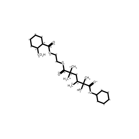 CCCC(C)(C(=O)OC1CCCCC1)C(C)CC(C)(C)C(=O)OCCOC(=O)C1CCCCC1C(=O)O